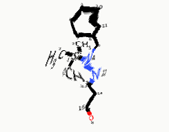 C[Si](C)(C)N(Cc1ccccc1)N=CCC=O